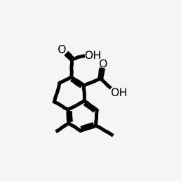 Cc1cc(C)c2c(c1)C(C(=O)O)=C(C(=O)O)CC2